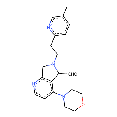 Cc1ccc(CCN2Cc3nccc(N4CCOCC4)c3C2C=O)nc1